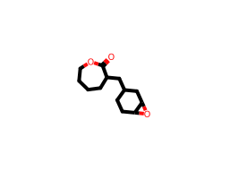 O=C1OCCCCC1CC1CCC2OC2C1